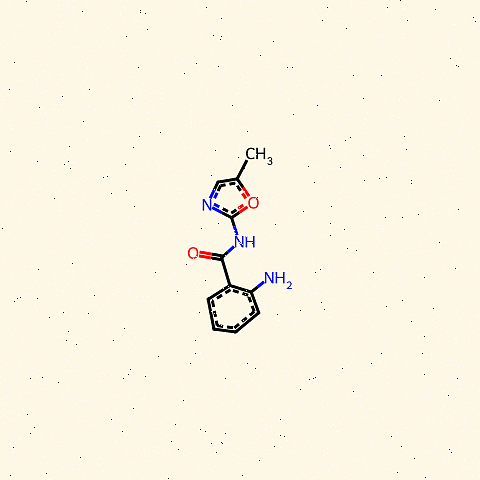 Cc1cnc(NC(=O)c2ccccc2N)o1